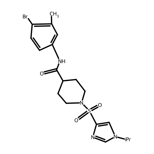 Cc1cc(NC(=O)C2CCN(S(=O)(=O)c3cn(C(C)C)cn3)CC2)ccc1Br